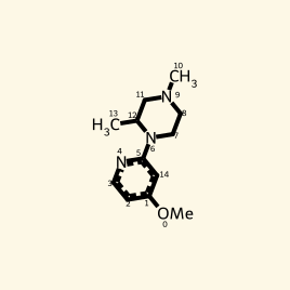 COc1ccnc(N2CCN(C)CC2C)c1